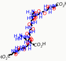 N=C(N)NCCC[C@H](NC(=O)[C@H](CCC(=O)O)NC(=O)CNC(=O)CNC(=O)CNC(=O)[C@@H](N)CCC(=O)O)C(=O)NCC(=O)NCC(=O)NCC(=O)NCC(=O)N[C@@H](CC(N)=O)C(=O)NCC(=O)NCC(=O)NCC(=O)NCC(=O)NCC(=O)O